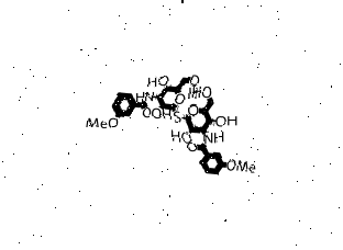 COc1cccc(C(=O)NC2[C@@H](O)C(CO)O[C@@H](S[C@@H]3OC(CO)[C@H](O)[C@H](NC(=O)c4cccc(OC)c4)C3O)[C@@H]2O)c1